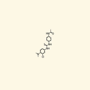 CC(=O)Nc1ccc(NC(=S)Nc2ccc(N(C)C)c(Cl)c2)cc1